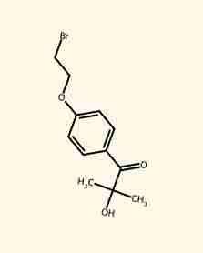 CC(C)(O)C(=O)c1ccc(OCCBr)cc1